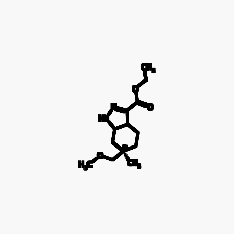 CCOC(=O)C1=NNC2C[C@](C)(COC)CCC12